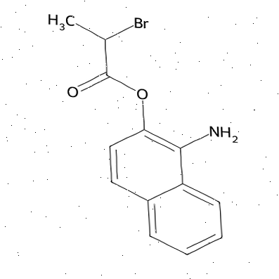 CC(Br)C(=O)Oc1ccc2ccccc2c1N